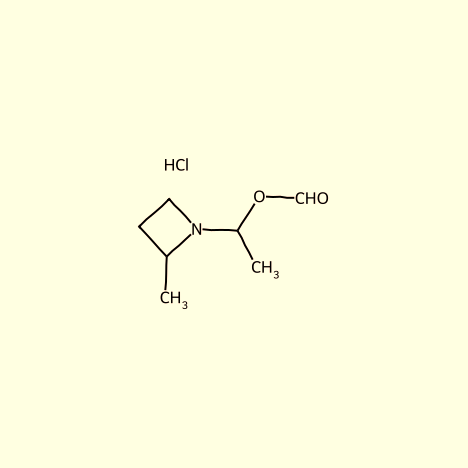 CC1CCN1C(C)OC=O.Cl